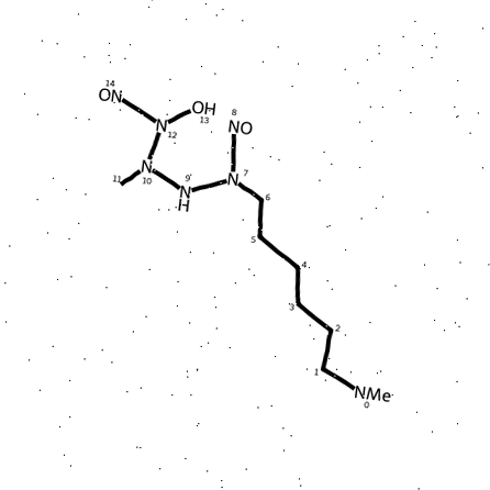 CNCCCCCCN(N=O)NN(C)N(O)N=O